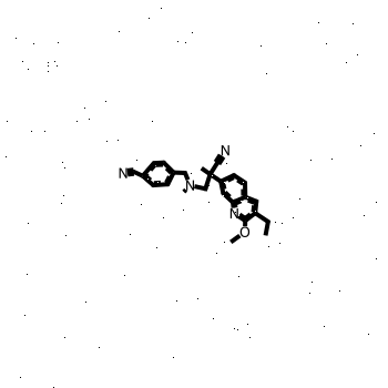 CCc1cc2ccc(C(C)(C#N)CN(C)Cc3ccc(C#N)cc3)cc2nc1OC